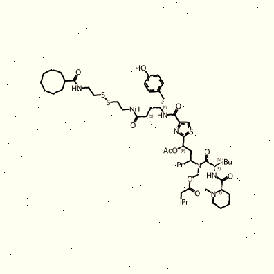 CC[C@H](C)[C@H](NC(=O)[C@H]1CCCCN1C)C(=O)N(COC(=O)CC(C)C)C(C[C@@H](OC(C)=O)c1nc(C(=O)N[C@@H](Cc2ccc(O)cc2)C[C@H](C)C(=O)NCCSSCCNC(=O)C2CCCCCCC2)cs1)C(C)C